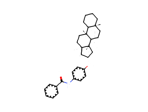 C[C@]12CC[C@H]3[C@@H](CC[C@H]4CCCC[C@@]43C)[C@@H]1C[C@H](Oc1ccc(NC(=O)c3ccccc3)cc1)C2